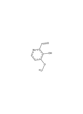 COc1ccnc([C]=O)c1O